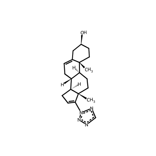 C[C@]12CC[C@H](O)CC1=CC[C@@H]1[C@@H]2CC[C@]2(C)C(n3ncnn3)=CC[C@@H]12